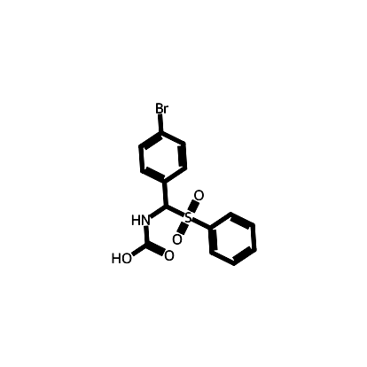 O=C(O)NC(c1ccc(Br)cc1)S(=O)(=O)c1ccccc1